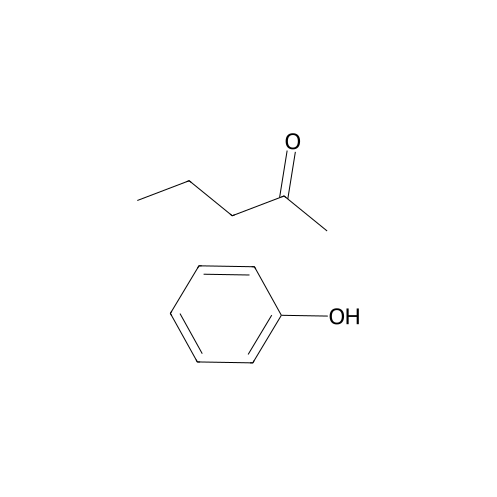 CCCC(C)=O.Oc1ccccc1